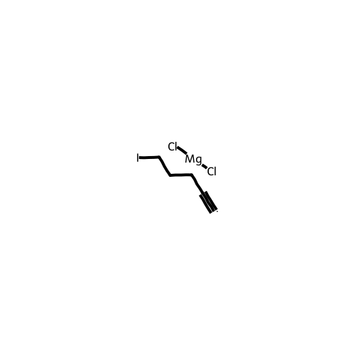 [C]#CCCCI.[Cl][Mg][Cl]